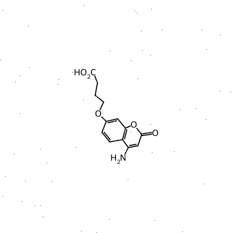 Nc1cc(=O)oc2cc(OCCCC(=O)O)ccc12